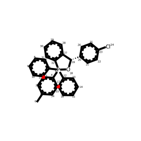 Cc1ccc(P2(c3ccccc3)(c3ccccc3)O[C@@H](c3ccc(Cl)cc3)c3ccccc32)cc1